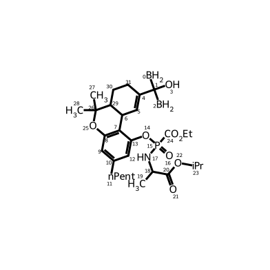 BC(B)(O)C1=CC2c3c(cc(CCCCC)cc3OP(=O)(NC(C)C(=O)OC(C)C)C(=O)OCC)OC(C)(C)C2CC1